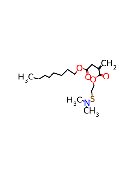 C=C(CC(=O)OCCCCCCCC)C(=O)OCCSN(C)C